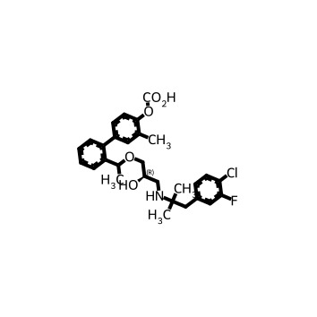 Cc1cc(-c2ccccc2C(C)OC[C@H](O)CNC(C)(C)Cc2ccc(Cl)c(F)c2)ccc1OC(=O)O